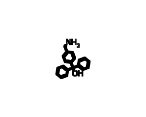 NCc1ccc(C(O)(c2ccccc2)c2ccccc2)cc1